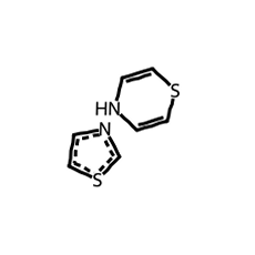 C1=CSC=CN1.c1cscn1